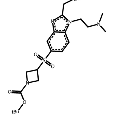 CN(C)CCn1c(CC(C)(C)C)nc2cc(S(=O)(=O)C3CN(C(=O)OC(C)(C)C)C3)ccc21